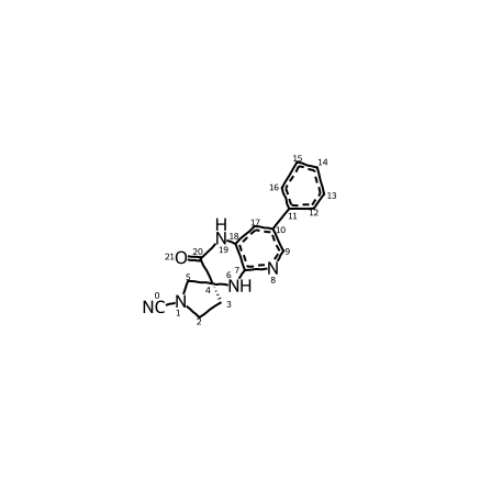 N#CN1CC[C@@]2(C1)Nc1ncc(-c3ccccc3)cc1NC2=O